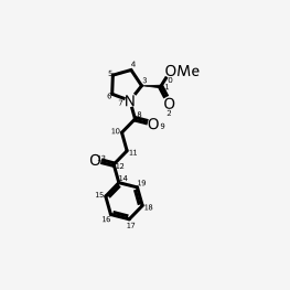 COC(=O)[C@@H]1CCCN1C(=O)CCC(=O)c1ccccc1